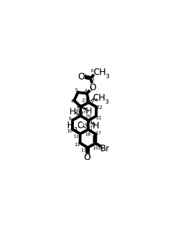 CC(=O)OC1CC[C@H]2[C@@H]3CCC4CC(=O)C(Br)=C[C@]4(C)[C@@H]3CC[C@]12C